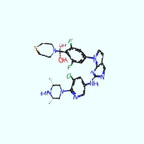 C[C@@H]1CN(c2ncc(Nc3ncc4ccn(-c5cc(F)c(C(O)(O)N6CCSCC6)c(F)c5)c4n3)cc2Cl)C[C@H](C)N1